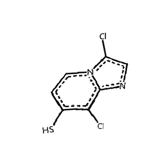 Sc1ccn2c(Cl)cnc2c1Cl